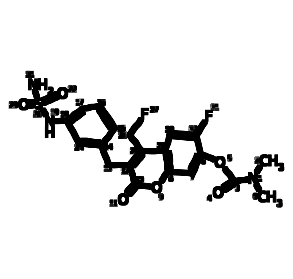 CN(C)C(=O)Oc1cc2oc(=O)c(Cc3cccc(NS(N)(=O)=O)c3)c(CF)c2cc1F